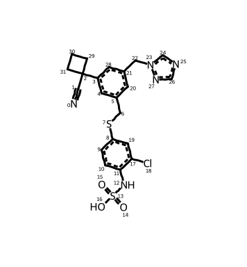 N#CC1(c2cc(CSc3ccc(NS(=O)(=O)O)c(Cl)c3)cc(Cn3cncn3)c2)CCC1